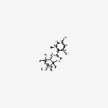 O=C(OC(C(F)(F)F)C(F)(F)S(=O)(=O)O)c1c(I)cc(I)cc1I